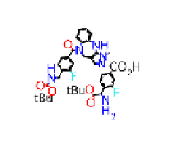 CC(C)(C)OC(=O)C(N)c1ccc(C(=O)O)cc1F.Cn1ncc2c1Nc1ccccc1N(C(=O)c1ccc(CNC(=O)OC(C)(C)C)c(F)c1)C2